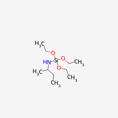 CCO[Si](NC(C)CC)(OCC)OCC